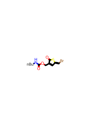 CCCCNC(=O)OCC1=C/C(=C/Br)SC1=O